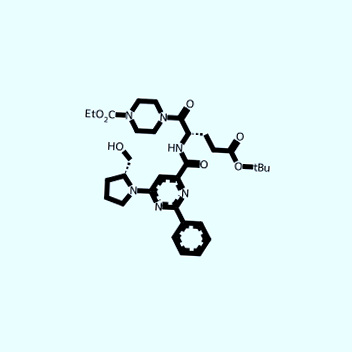 CCOC(=O)N1CCN(C(=O)[C@H](CCC(=O)OC(C)(C)C)NC(=O)c2cc(N3CCC[C@@H]3CO)nc(-c3ccccc3)n2)CC1